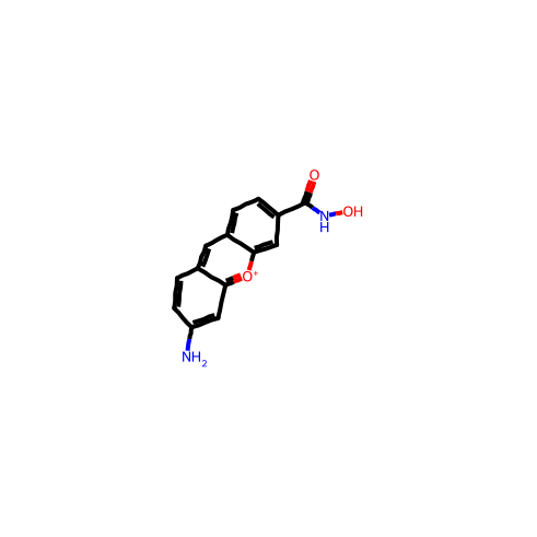 Nc1ccc2cc3ccc(C(=O)NO)cc3[o+]c2c1